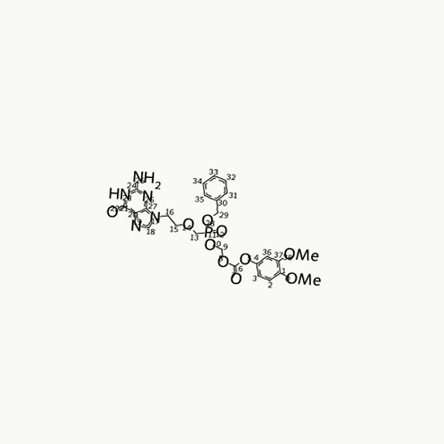 COc1ccc(OC(=O)OCOP(=O)(COCCn2cnc3c(=O)[nH]c(N)nc32)OCc2ccccc2)cc1OC